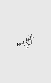 CC(C)(C)c1ccc(F)c(C(C)(C)C#N)n1